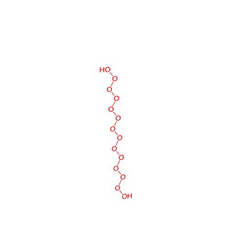 OOOOOOOOOOOOOO